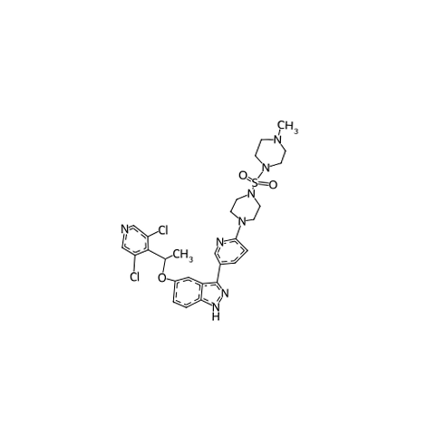 CC(Oc1ccc2[nH]nc(-c3ccc(N4CCN(S(=O)(=O)N5CCN(C)CC5)CC4)nc3)c2c1)c1c(Cl)cncc1Cl